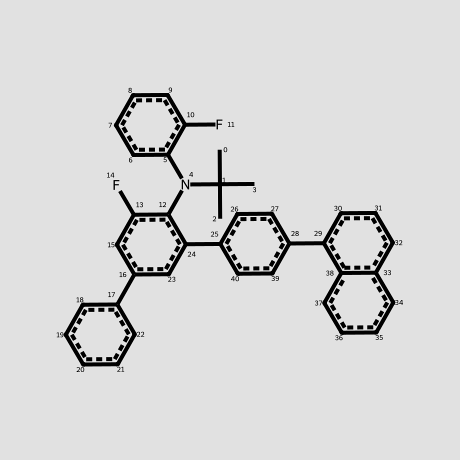 CC(C)(C)N(c1ccccc1F)c1c(F)cc(-c2ccccc2)cc1-c1ccc(-c2cccc3ccccc23)cc1